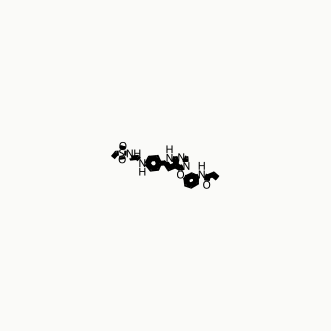 C=CC(=O)Nc1cccc(Oc2ncnc3[nH]c(-c4ccc(NCCNS(=O)(=O)CC)cc4)cc23)c1